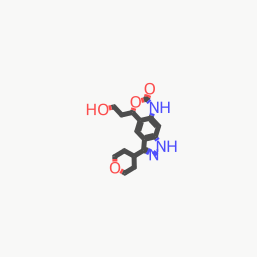 O=C1Nc2cc3[nH]nc(C4CCOCC4)c3cc2C(CCO)O1